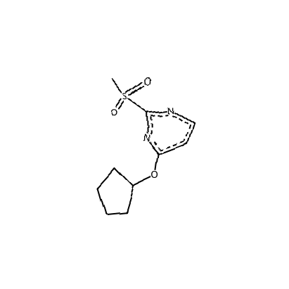 CS(=O)(=O)c1nccc(OC2CCCC2)n1